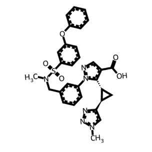 CN(Cc1cccc(-n2ncc(C(=O)O)c2[C@@H]2C[C@H]2c2cn(C)nn2)c1)S(=O)(=O)c1cccc(Oc2ccccc2)c1